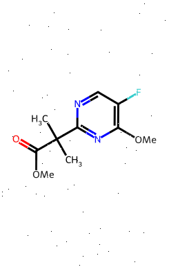 COC(=O)C(C)(C)c1ncc(F)c(OC)n1